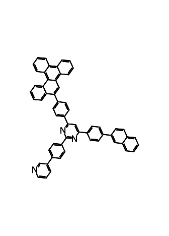 c1cncc(-c2ccc(-c3nc(-c4ccc(-c5ccc6ccccc6c5)cc4)cc(-c4ccc(-c5cc6c7ccccc7c7ccccc7c6c6ccccc56)cc4)n3)cc2)c1